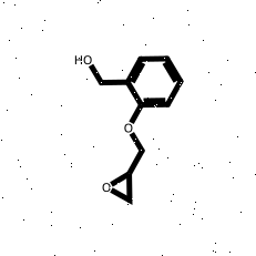 OCc1ccccc1OCC1CO1